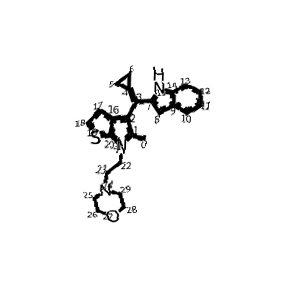 Cc1c(C(=C2CC2)c2cc3ccccc3[nH]2)c2ccsc2n1CCN1CCOCC1